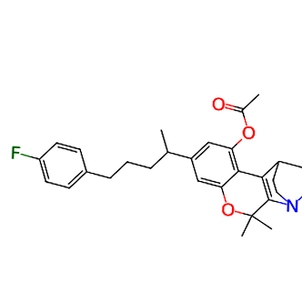 CC(=O)Oc1cc(C(C)CCCc2ccc(F)cc2)cc2c1C1=C(N3CCC1CC3)C(C)(C)O2